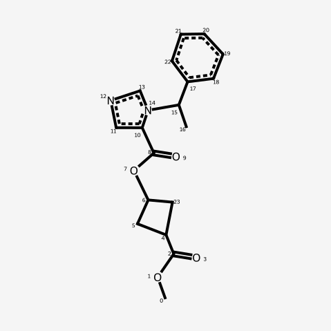 COC(=O)C1CC(OC(=O)c2cncn2C(C)c2ccccc2)C1